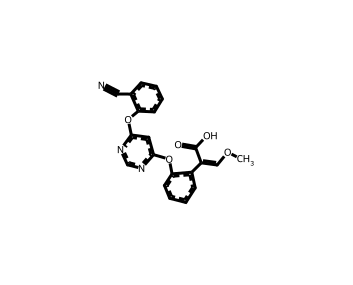 COC=C(C(=O)O)c1ccccc1Oc1cc(Oc2ccccc2C#N)ncn1